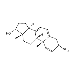 C[C@]12C=CC(N)CC1=CC=C1[C@H]2CC[C@]2(C)C(O)CC[C@@H]12